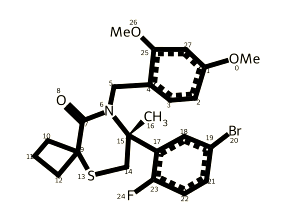 COc1ccc(CN2C(=O)C3(CCC3)SC[C@@]2(C)c2cc(Br)ccc2F)c(OC)c1